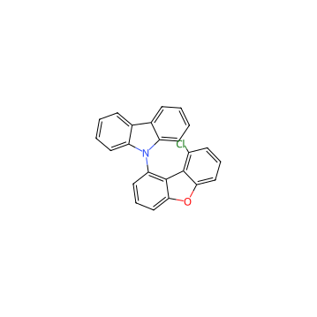 Clc1cccc2oc3cccc(-n4c5ccccc5c5ccccc54)c3c12